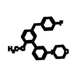 COc1ccc(Cc2ccc(F)cc2)cc1-c1cccc(N2CCOCC2)c1